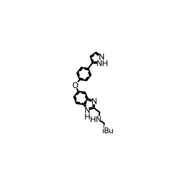 CC[C@H](C)CNCc1nc2cc(Oc3ccc(-c4ccn[nH]4)cc3)ccc2[nH]1